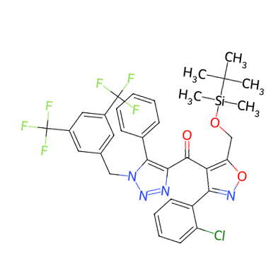 CC(C)(C)[Si](C)(C)OCc1onc(-c2ccccc2Cl)c1C(=O)c1nnn(Cc2cc(C(F)(F)F)cc(C(F)(F)F)c2)c1-c1ccccc1